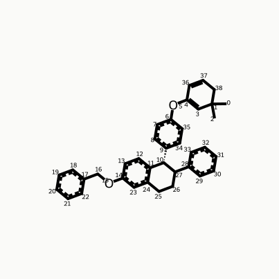 CC1(C)C=C(Oc2ccc([C@H]3c4ccc(OCc5ccccc5)cc4CCC3c3ccccc3)cc2)C=CC1